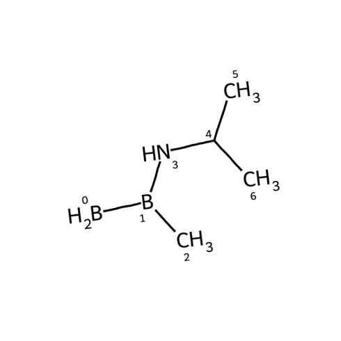 BB(C)NC(C)C